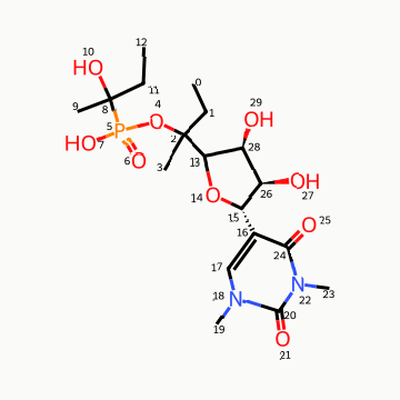 CCC(C)(OP(=O)(O)C(C)(O)CC)C1O[C@@H](c2cn(C)c(=O)n(C)c2=O)[C@H](O)[C@@H]1O